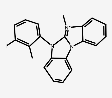 Cc1c(I)cccc1-n1c2ccccc2n2c3ccccc3[n+](C)c12